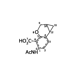 CC(=O)Nc1ccc2c(c1C(=O)O)OCC1CC21